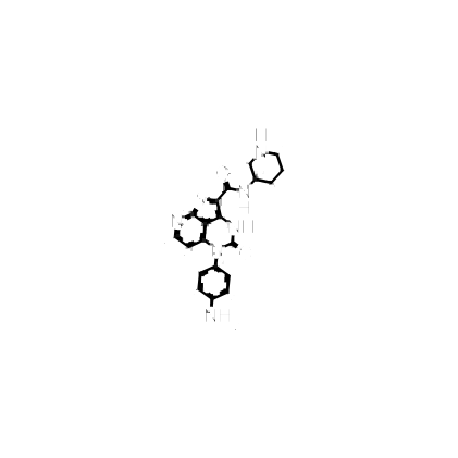 Nc1ccc(N2C(=O)Nc3c(C(=O)NC4CCCNC4)sc4nccc2c34)cc1